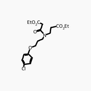 CCOC(=O)CCN(CCCOc1ccc(Cl)cc1)C(=O)CC(=O)OCC